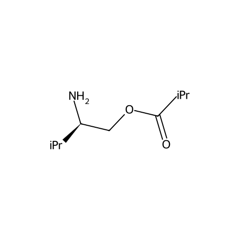 CC(C)C(=O)OC[C@H](N)C(C)C